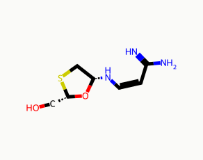 N=C(N)/C=C\N[C@H]1CS[C@@H](CO)O1